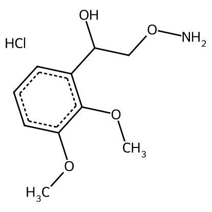 COc1cccc(C(O)CON)c1OC.Cl